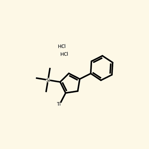 C[Si](C)(C)C1=[C]([Ti])CC(c2ccccc2)=C1.Cl.Cl